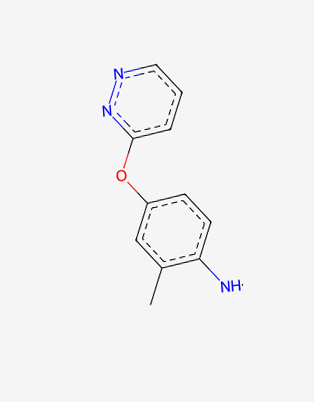 Cc1cc(Oc2cccnn2)ccc1[NH]